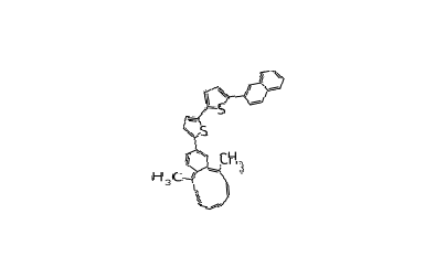 Cc1ccccccc(C)c2cc(-c3ccc(-c4ccc(-c5ccc6ccccc6c5)s4)s3)ccc12